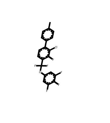 Cc1ccc(-c2ccc(C(F)(F)Oc3cc(F)c(F)c(F)c3)c(F)c2Cl)cc1